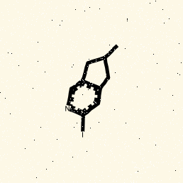 CC1Cc2cnc(I)cc2C1